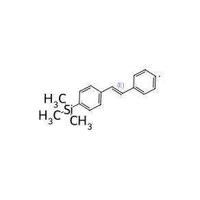 C[Si](C)(C)c1ccc(/C=C/c2cc[c]cc2)cc1